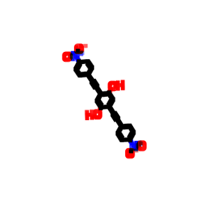 O=[N+]([O-])c1ccc(C#Cc2cc(O)c(C#Cc3ccc([N+](=O)[O-])cc3)cc2O)cc1